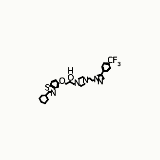 O[C@H](COc1ccc2sc(C3CCCCC3)nc2c1)CN1CCN(CCn2cc(-c3ccc(C(F)(F)F)cc3)cn2)CC1